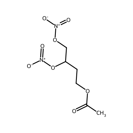 CC(=O)OCCC(CO[N+](=O)[O-])O[N+](=O)[O-]